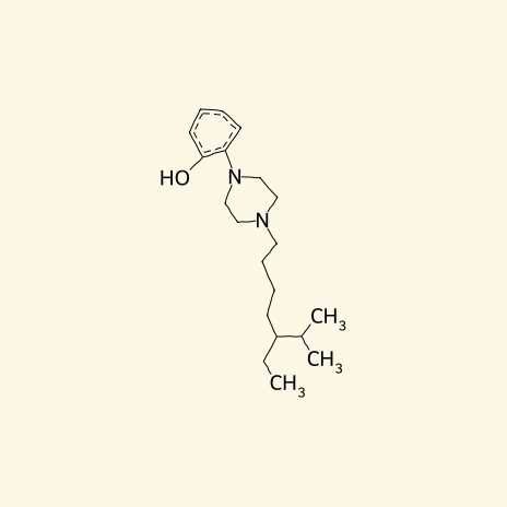 CCC(CCCCN1CCN(c2ccccc2O)CC1)C(C)C